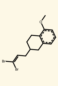 COc1cccc2c1CCC(CC=C(Br)Br)C2